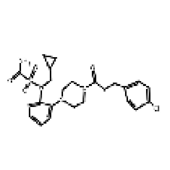 NC(=O)S(=O)(=O)N(CC1CC1)c1ccccc1N1CCN(C(=O)[CH]Cc2ccc(Cl)cc2)CC1